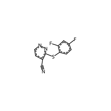 N#Cc1ccnnc1Sc1ccc(F)cc1F